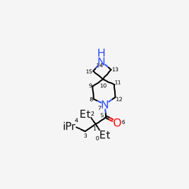 CCC(CC)(CC(C)C)C(=O)N1CCC2(CC1)CNC2